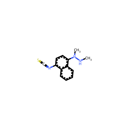 CNN(C)c1ccc(N=C=S)c2ccccc12